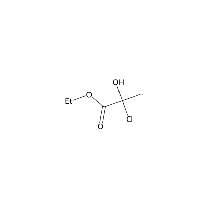 [CH2]C(O)(Cl)C(=O)OCC